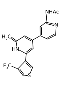 C=C1C=C(c2ccnc(NC(C)=O)c2)C=C(c2cscc2C(F)(F)F)N1